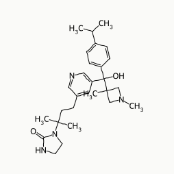 CC(C)c1ccc(C(O)(c2cncc(CCC(C)(C)N3CCNC3=O)c2)C2(C)CN(C)C2)cc1